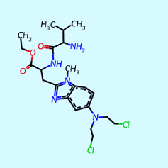 CCOC(=O)C(Cc1nc2cc(N(CCCl)CCCl)ccc2n1C)NC(=O)C(N)C(C)C